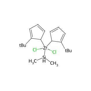 C[SiH](C)[Zr]([Cl])([Cl])([CH]1C=CC=C1C(C)(C)C)[CH]1C=CC=C1C(C)(C)C